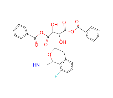 CNC[C@@H]1OCCc2cccc(F)c21.O=C(OC(=O)C(O)C(O)C(=O)OC(=O)c1ccccc1)c1ccccc1